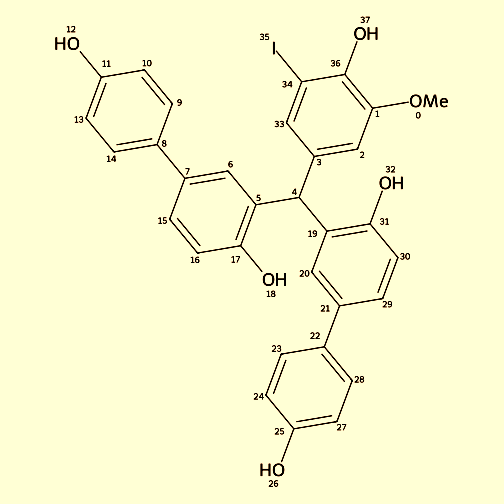 COc1cc(C(c2cc(-c3ccc(O)cc3)ccc2O)c2cc(-c3ccc(O)cc3)ccc2O)cc(I)c1O